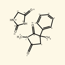 CN1C(=O)CC(C)(c2ccccc2)C1=O.O=C1CNC(=O)N1